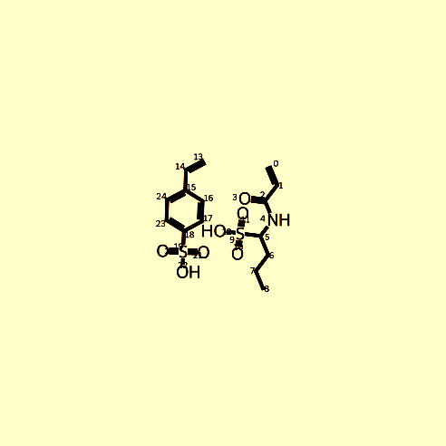 C=CC(=O)NC(CCC)S(=O)(=O)O.C=Cc1ccc(S(=O)(=O)O)cc1